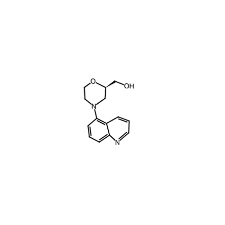 OC[C@H]1CN(c2cccc3ncccc23)CCO1